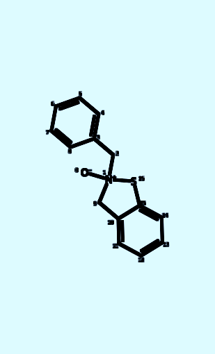 [O-][N+]1(Cc2ccccc2)Cc2ccccc2S1